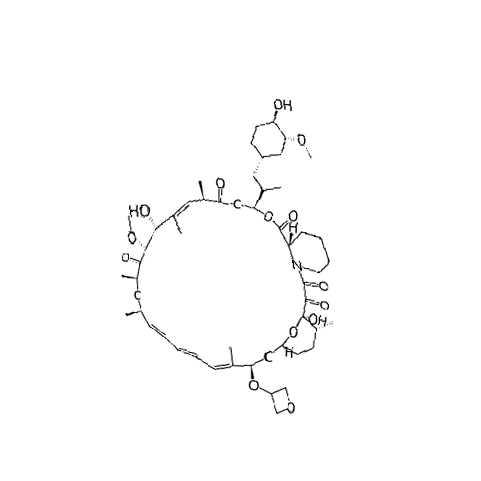 CO[C@@H]1C[C@H](CC(C)[C@@H]2CC(=O)[C@H](C)/C=C(\C)[C@@H](O)[C@@H](OC)C(=O)[C@H](C)C[C@H](C)/C=C/C=C/C=C(\C)[C@H](OC3COC3)C[C@@H]3CC[C@@H](C)[C@@](O)(O3)C(=O)C(=O)N3CCCC[C@H]3C(=O)O2)CC[C@H]1O